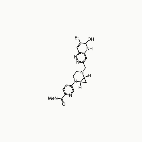 CCC1=Cc2nnc(CN3CCN(c4ccc(C(=O)NC)nc4)[C@H]4C[C@H]43)cc2NC1O